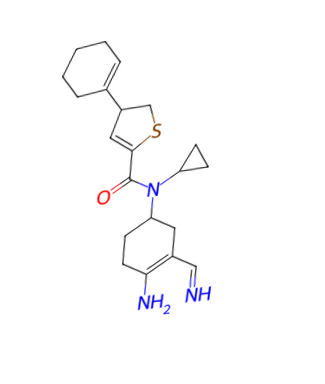 N=CC1=C(N)CCC(N(C(=O)C2=CC(C3=CCCCC3)CS2)C2CC2)C1